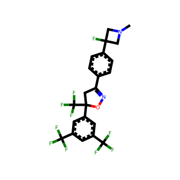 CN1CC(F)(c2ccc(C3=NOC(c4cc(C(F)(F)F)cc(C(F)(F)F)c4)(C(F)(F)F)C3)cc2)C1